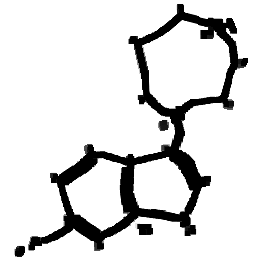 Fc1ccc2c(N3CCCNCC3)csc2c1